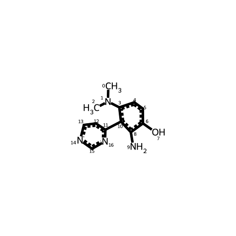 CN(C)c1ccc(O)c(N)c1-c1ccncn1